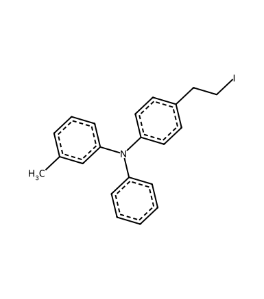 Cc1cccc(N(c2ccccc2)c2ccc(CCI)cc2)c1